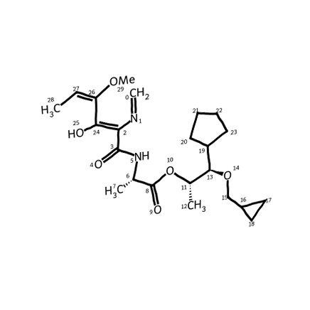 C=N/C(C(=O)N[C@@H](C)C(=O)O[C@@H](C)[C@H](OCC1CC1)C1CCCC1)=C(O)\C(=C/C)OC